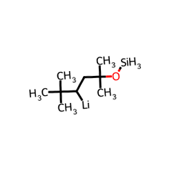 [Li][CH](CC(C)(C)O[SiH3])C(C)(C)C